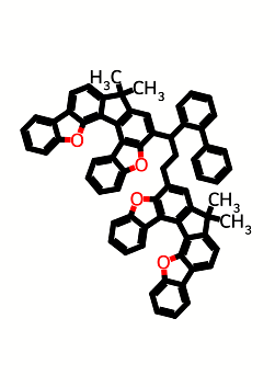 CC1(C)c2ccc3c(oc4ccccc43)c2-c2c1cc(CCC(c1ccccc1-c1ccccc1)c1cc3c(c4c1oc1ccccc14)-c1c(ccc4c1oc1ccccc14)C3(C)C)c1oc3ccccc3c21